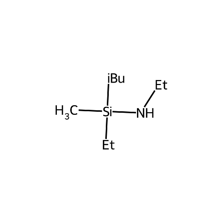 CCN[Si](C)(CC)C(C)CC